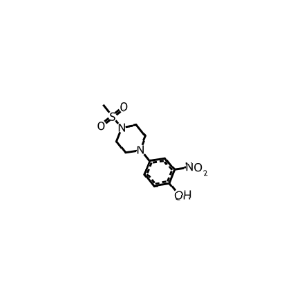 CS(=O)(=O)N1CCN(c2ccc(O)c([N+](=O)[O-])c2)CC1